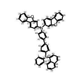 c1ccc(N(c2ccc(-c3ccc(N(c4ccc5c(c4)oc4ccccc45)c4ccc5c(c4)oc4ccccc45)cc3)cc2)c2cccc3ccccc23)cc1